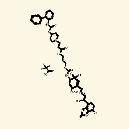 COC1=CC(NC(=O)OCCCNC(=O)CCN2CCC(OC(=O)Nc3ccccc3-c3ccccc3)CC2)C(Cl)(Cl)C=C1CNC[C@H](O)c1ccc(O)c2[nH]c(=O)sc12.O=C(O)C(F)(F)F